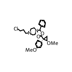 COc1ccc([C@]2(C(=O)OC(c3ccccc3)N3CCN(CCCCl)CC3)C[C@H]2OC)cc1